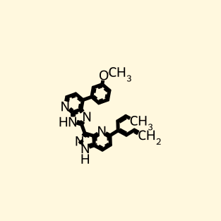 C=C/C=C(\C=C/C)c1ccc2[nH]nc(-c3nc4c(-c5cccc(OC)c5)ccnc4[nH]3)c2n1